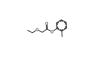 CCOCC(=O)Oc1ccccc1C